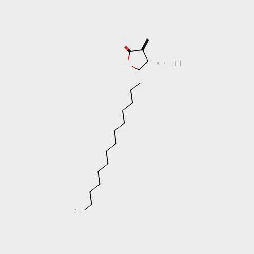 C=C1C(=O)O[C@@H](CCCCCCCCCCCCCC(C)=O)[C@H]1C(=O)O